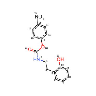 O=C(NCCc1ccccc1O)Oc1ccc([N+](=O)[O-])cc1